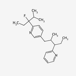 CCC(c1ccccn1)C(C)Cc1ccc(C(F)(CC)C(C)C)nc1